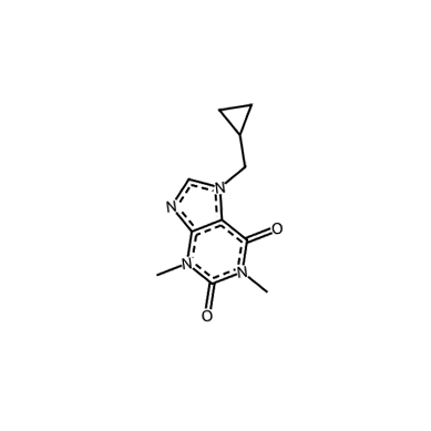 Cn1c(=O)c2c(ncn2CC2CC2)n(C)c1=O